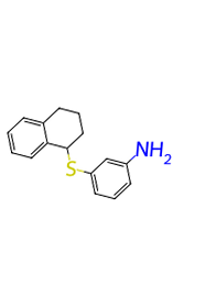 Nc1cccc(SC2CCCc3ccccc32)c1